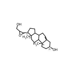 C[C@]12CC[C@H](O)CC1=CCC1C2CC[C@@]2(C)C1CC[C@@H]2C1OC1CO